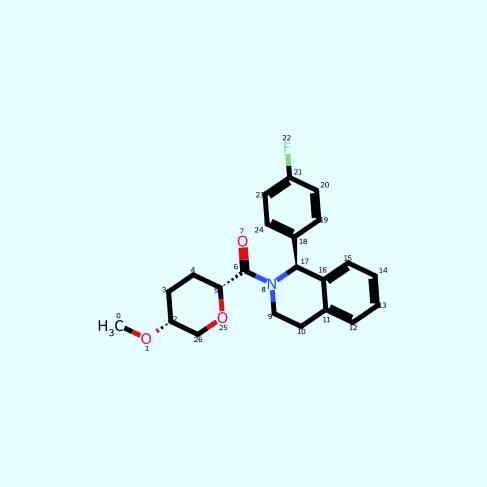 CO[C@@H]1CC[C@H](C(=O)N2CCc3ccccc3[C@@H]2c2ccc(F)cc2)OC1